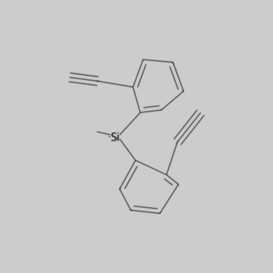 C#Cc1ccccc1[Si](C)c1ccccc1C#C